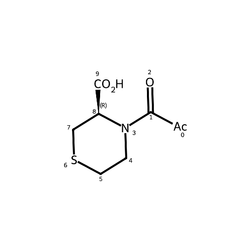 CC(=O)C(=O)N1CCSC[C@H]1C(=O)O